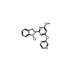 COc1cc(Oc2cccnc2)nc(N2Cc3ccccc3[S+]2[O-])n1